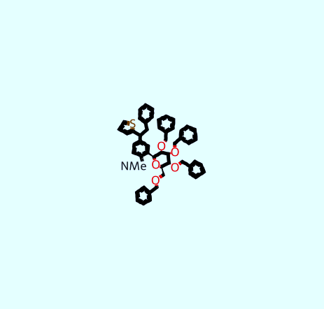 CNc1ccc(C(Cc2ccccc2)c2cccs2)cc1[C@@H]1O[C@H](COCc2ccccc2)[C@@H](OCc2ccccc2)[C@H](OCc2ccccc2)[C@H]1OCc1ccccc1